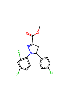 COC(=O)C1=NN(c2ccc(Cl)cc2Cl)C(c2ccc(Cl)cc2)C1